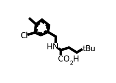 Cc1ccc(CNC(CCC(C)(C)C)C(=O)O)cc1Cl